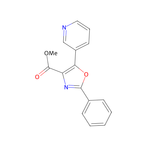 COC(=O)c1nc(-c2ccccc2)oc1-c1cccnc1